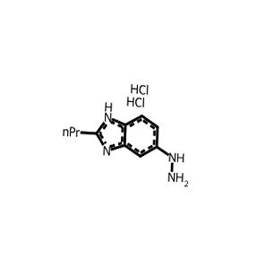 CCCc1nc2cc(NN)ccc2[nH]1.Cl.Cl